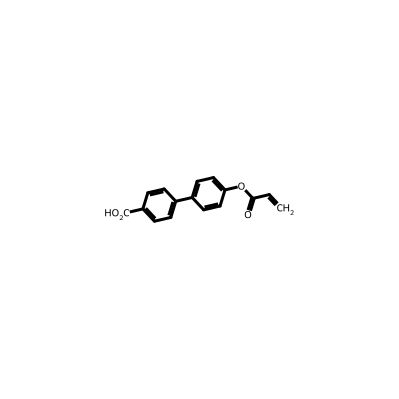 C=CC(=O)Oc1ccc(-c2ccc(C(=O)O)cc2)cc1